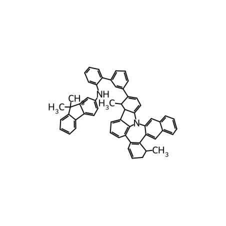 CC1CC=CC2=C1c1cc3ccccc3cc1N1C3=CC=C(c4cccc(-c5ccccc5Nc5ccc6c(c5)C(C)(C)c5ccccc5-6)c4)C(C)C3c3cccc2c31